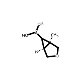 C[C@]12COC[C@H]1C2B(O)O